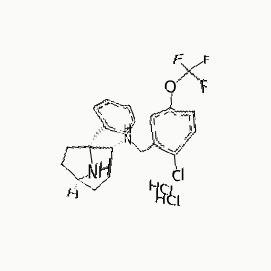 Cl.Cl.FC(F)(F)Oc1ccc(Cl)c(CN[C@@H]2CC[C@H]3CC[C@]2(c2ccccc2)N3)c1